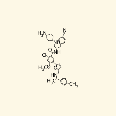 COc1cc(Cl)c(C(=O)N[C@@H](CN[C@H]2CC[C@@H](N)CC2)Cc2ccc(C#N)cc2)cc1-c1ccc(CNC(C)c2ccc(C)cc2)o1